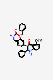 CC(=O)Oc1cccc2c1C(=O)C(c1ccc(CN(C)C(=O)OCc3ccccc3)cc1)C(c1ccccc1)N2